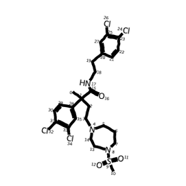 CC(CCN1CCCN(S(C)(=O)=O)CC1)(C(=O)NCCc1ccc(Cl)c(Cl)c1)c1ccc(Cl)c(Cl)c1